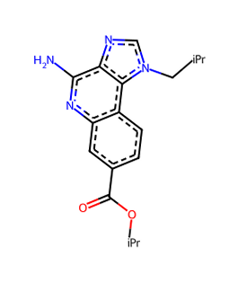 CC(C)Cn1cnc2c(N)nc3cc(C(=O)OC(C)C)ccc3c21